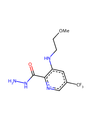 COCCNc1cc(C(F)(F)F)cnc1C(=O)NN